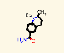 CCN1c2ccc(C(N)=O)cc2CCC1C